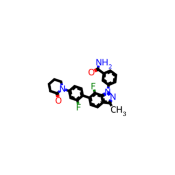 Cc1nn(-c2cccc(C(N)=O)c2)c2c(F)c(-c3ccc(N4CCCCC4=O)cc3F)ccc12